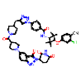 CC1(C)[C@H](NC(=O)c2ccc(-n3cc(CC4CCN(C(=O)C5CCN(c6ccc7nnn(C8CCC(=O)NC8=O)c(=O)c7c6)CC5)CC4)nn3)cc2)C(C)(C)[C@H]1Oc1ccc(C#N)c(Cl)c1